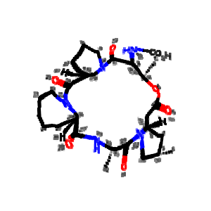 C[C@H]1C[C@H]2C(=O)O[C@@H](C)[C@H](NC(=O)O)C(=O)N3CCC[C@H]3C(=O)N3CCCC[C@H]3C(=O)N[C@@H](C)C(=O)N2C1